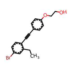 CCc1cc(Br)ccc1C#Cc1ccc(OCCO)cc1